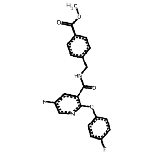 COC(=O)c1ccc(CNC(=O)c2cc(F)cnc2Oc2ccc(F)cc2)cc1